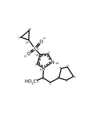 O=C(O)C(CC1CCCC1)n1cc(S(=O)(=O)C2CC2)cn1